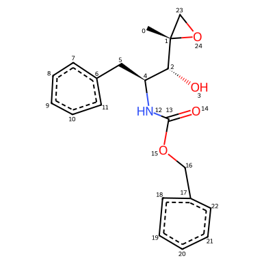 C[C@@]1([C@H](O)[C@H](Cc2ccccc2)NC(=O)OCc2ccccc2)CO1